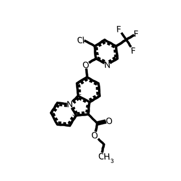 CCOC(=O)c1c2ccc(Oc3ncc(C(F)(F)F)cc3Cl)cc2n2ccccc12